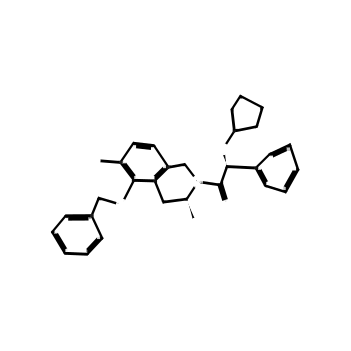 Cc1ccc2c(c1OCc1ccccc1)C[C@H](C(=O)O)N(C(=O)[C@@H](OC1CCCC1)c1ccccc1)C2